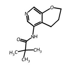 CC(C)(C)C(=O)Nc1cncc2c1CCCO2